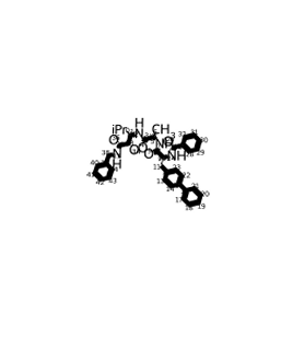 CC(C)[C@H](NC(=O)[C@H](C)NC(=O)[C@@H](Cc1ccc(-c2ccccc2)cc1)NC(=O)c1ccccc1)C(=O)C(=O)NCc1ccccc1